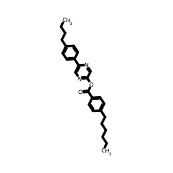 CCCCCCc1ccc(C(=O)Oc2cnc(-c3ccc(CCCC)cc3)cn2)cc1